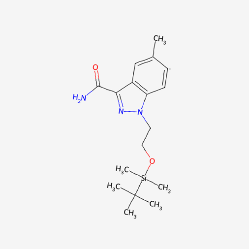 Cc1[c]cc2c(c1)c(C(N)=O)nn2CCO[Si](C)(C)C(C)(C)C